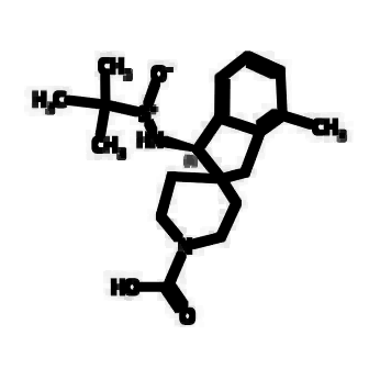 Cc1cccc2c1CC1(CCN(C(=O)O)CC1)[C@H]2N[S+]([O-])C(C)(C)C